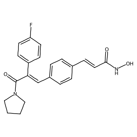 O=C(/C=C/c1ccc(/C=C(/C(=O)N2CCCC2)c2ccc(F)cc2)cc1)NO